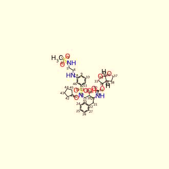 CS(=O)(=O)NCCNc1cccc(S(=O)(=O)N(C[C@@H](O)[C@H](Cc2ccccc2)NC(=O)O[C@H]2CO[C@H]3OCC[C@H]32)OC2CCCC2)c1